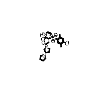 Cc1cc(S(=O)(=O)N2C=CNC(=O)[C@H]2CC(=O)N2CC[C@H](N3CCCC3)C2)c(C)cc1Cl